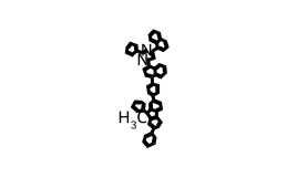 CC1(c2ccccc2)c2cc(-c3ccccc3)ccc2-c2ccc(-c3ccc(-c4ccc(-c5cc(-c6cccc7ccccc67)nc(-c6ccccc6)n5)c5ccccc45)cc3)cc21